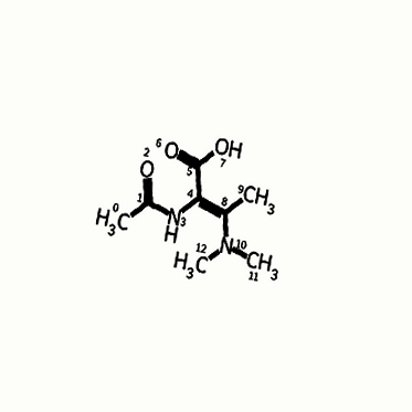 CC(=O)NC(C(=O)O)=C(C)N(C)C